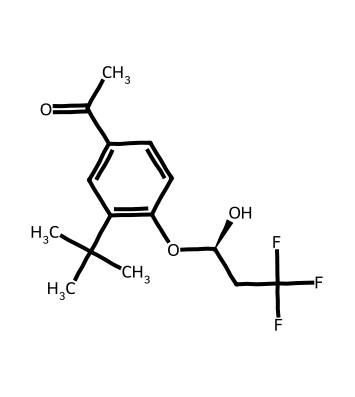 CC(=O)c1ccc(O[C@@H](O)CC(F)(F)F)c(C(C)(C)C)c1